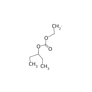 [CH2]COC(=O)OC(CC)CC